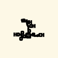 C#CCOc1ccccc1OCC(O)CNC(C)(C)C.O=C(O)C(=O)O